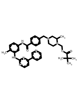 Cc1ccc(NC(=O)c2ccc(CN3CCN(COC(=O)C(C)(C)C)C(C)C3)cc2)cc1Nc1nccc(-c2cccnc2)n1